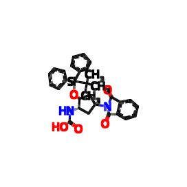 CC(C)(C)[Si](O[C@H]1CC(N2C(=O)c3ccccc3C2=O)C[C@@H]1NC(=O)O)(c1ccccc1)c1ccccc1